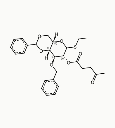 CCSC1O[C@H]2COC(c3ccccc3)O[C@H]2[C@H](OCc2ccccc2)[C@H]1OC(=O)CCC(C)=O